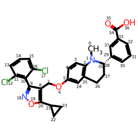 CN1c2ccc(OCc3c(-c4c(Cl)cccc4Cl)noc3C3CC3)cc2CC[C@H]1c1cccc(C(=O)O)c1